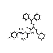 CC=C(NC(=O)N(CCC(c1ccccc1)c1ccccc1)CCN1CCOCC1)S/C=C(\C)c1ccc(Cl)cc1